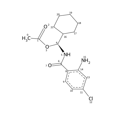 CC(=O)O[C@H](NC(=O)c1ccc(Cl)cc1N)C1CCCCC1